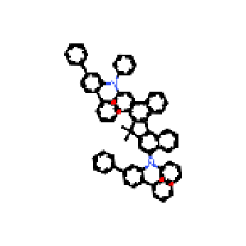 CC1(C)c2cc(N(c3ccccc3)c3cc(-c4ccccc4)ccc3-c3ccccc3)c3ccccc3c2-c2c1c1ccc(N(c3ccccc3)c3cc(-c4ccccc4)ccc3-c3ccccc3)cc1c1ccccc21